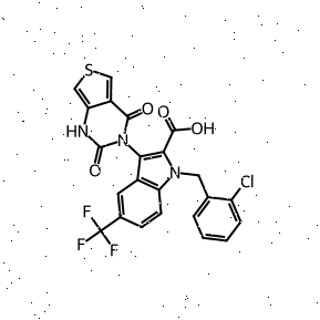 O=C(O)c1c(-n2c(=O)[nH]c3cscc3c2=O)c2cc(C(F)(F)F)ccc2n1Cc1ccccc1Cl